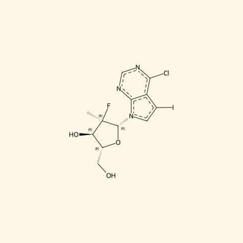 C[C@@]1(F)[C@H](O)[C@@H](CO)O[C@H]1n1cc(I)c2c(Cl)ncnc21